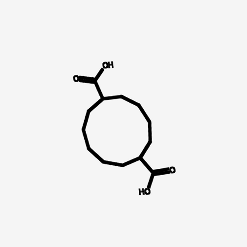 O=C(O)C1CCCCCC(C(=O)O)CCCC1